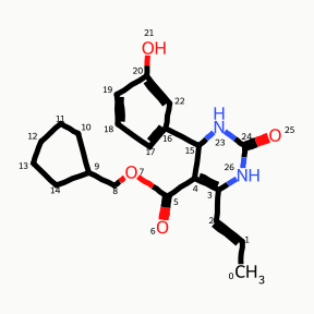 C/C=C/C1=C(C(=O)OCC2CCCCC2)C(c2cccc(O)c2)NC(=O)N1